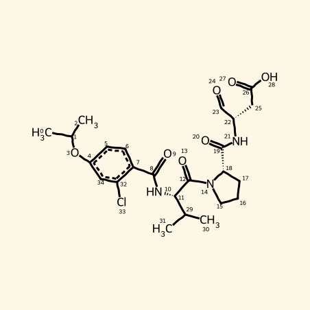 CC(C)Oc1ccc(C(=O)N[C@H](C(=O)N2CCC[C@H]2C(=O)N[C@H](C=O)CC(=O)O)C(C)C)c(Cl)c1